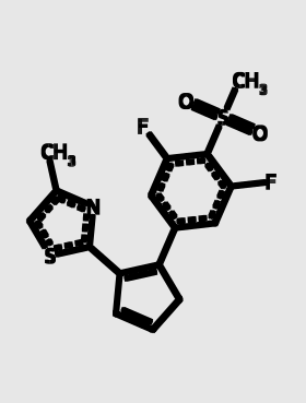 Cc1csc(C2=C(c3cc(F)c(S(C)(=O)=O)c(F)c3)CC=C2)n1